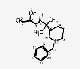 CC(C)(NCC(O)CCl)C1CCCN(Cc2ccccc2)C1